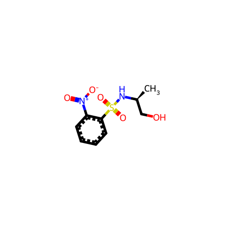 C[C@@H](CO)NS(=O)(=O)c1ccccc1[N+](=O)[O-]